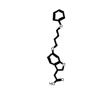 O=C(O)CC1COc2cc(OCCCCOc3ccccc3)ccc21